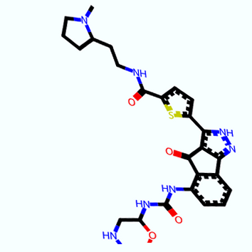 CN1CCCC1CCNC(=O)c1ccc(-c2[nH]nc3c2C(=O)c2c(NC(=O)NC4CNCCO4)cccc2-3)s1